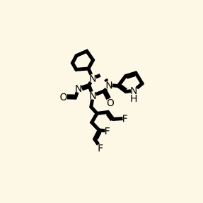 CN(C(=O)N(CC(/C=C/F)C/C(F)=C/F)/C(=N\C=O)N(C)C1CCCCC1)C1=CNCC=C1